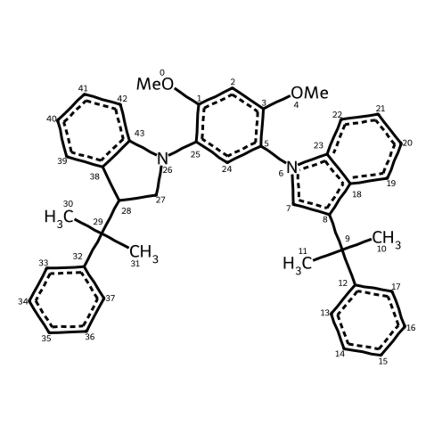 COc1cc(OC)c(-n2cc(C(C)(C)c3ccccc3)c3ccccc32)cc1N1CC(C(C)(C)c2ccccc2)c2ccccc21